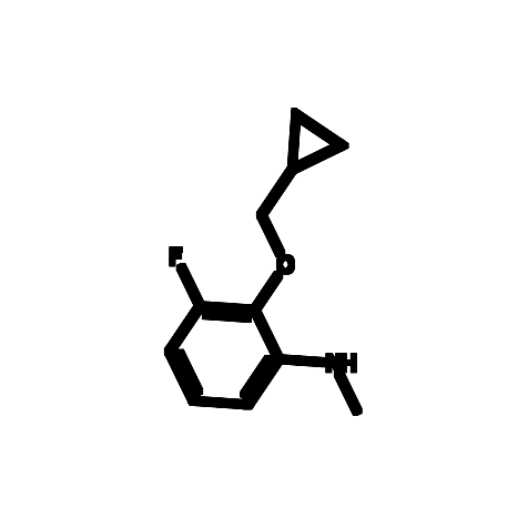 CNc1cccc(F)c1OCC1CC1